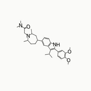 COc1ccc(-c2[nH]c3ccc(C4CCC(C)N(CC(=O)N(C)C)C(C)C4)cc3c2C(C)C)cc1OC